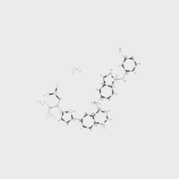 C.CN(C)C(C=S(=O)=O)c1ccc(-c2ccc3ncnc(Nc4ccc5c(cnn5Cc5cccc(F)c5)c4)c3c2)o1